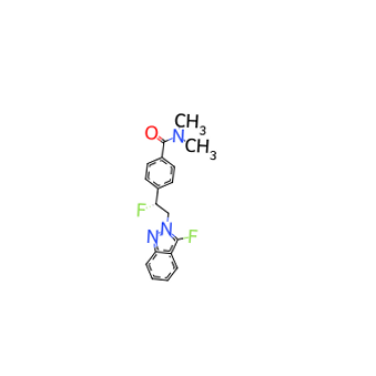 CN(C)C(=O)c1ccc([C@@H](F)Cn2nc3ccccc3c2F)cc1